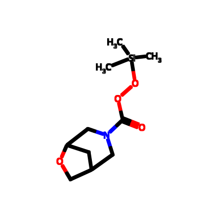 C[Si](C)(C)OOC(=O)N1CC2COC(C2)C1